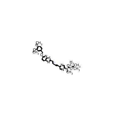 COc1ccc(COc2ccc3nc(/C=C/C#Cc4cnc(N(C)C(=O)OC(C)(C)C)cn4)sc3n2)cc1OC